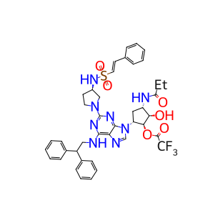 CCC(=O)N[C@H]1C[C@@H](n2cnc3c(NCC(c4ccccc4)c4ccccc4)nc(N4CC[C@@H](NS(=O)(=O)/C=C/c5ccccc5)C4)nc32)[C@H](OC(=O)C(F)(F)F)[C@@H]1O